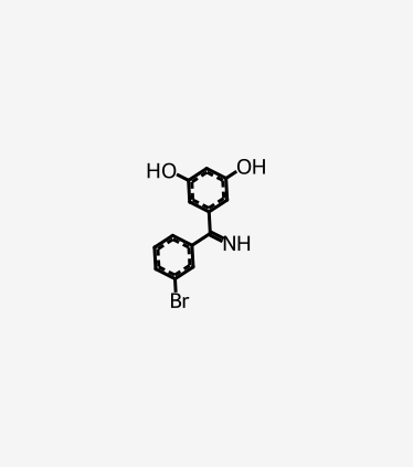 N=C(c1cc(O)cc(O)c1)c1cccc(Br)c1